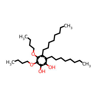 CCCCCCCCc1c(O)c(O)c(OCCCC)c(OCCCC)c1CCCCCCCC